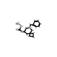 CC(C)(C)OC(=O)NC1CN(Cc2ccccc2)CC2(CCC2)C1